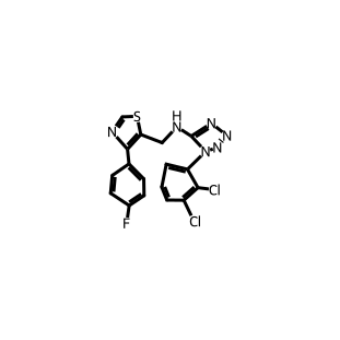 Fc1ccc(-c2ncsc2CNc2nnnn2-c2cccc(Cl)c2Cl)cc1